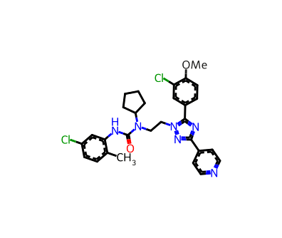 COc1ccc(-c2nc(-c3ccncc3)nn2CCN(C(=O)Nc2cc(Cl)ccc2C)C2CCCC2)cc1Cl